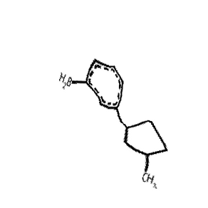 Bc1cccc(C2CCC(C)C2)c1